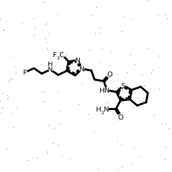 NC(=O)c1c(NC(=O)CCn2cc(CNCCF)c(C(F)(F)F)n2)sc2c1CCCC2